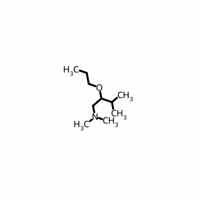 CCCOC(CN(C)C)C(C)C